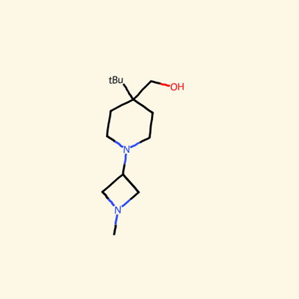 CN1CC(N2CCC(CO)(C(C)(C)C)CC2)C1